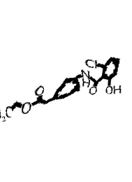 CCOC(=O)Cc1ccc(NC(=O)c2c(O)cccc2Cl)cc1